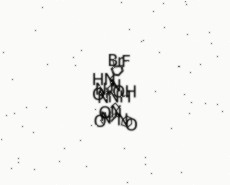 O=[N+]([O-])C=C(N1CCOCC1)N1CC(Nc2nonc2C(=NO)Nc2ccc(F)c(Br)c2)C1